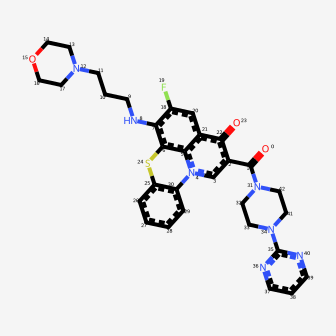 O=C(c1cn2c3c(c(NCCCN4CCOCC4)c(F)cc3c1=O)Sc1ccccc1-2)N1CCN(c2ncccn2)CC1